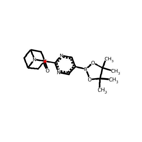 CC1(C)OB(c2cnc(N3CC4CC(C3)N4C=O)nc2)OC1(C)C